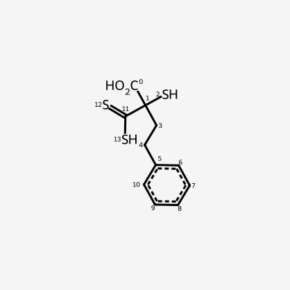 O=C(O)C(S)(CCc1ccccc1)C(=S)S